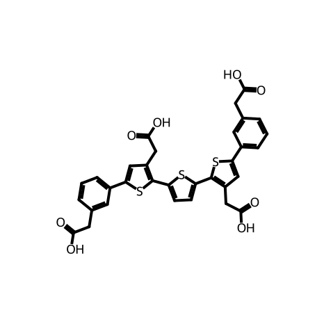 O=C(O)Cc1cccc(-c2cc(CC(=O)O)c(-c3ccc(-c4sc(-c5cccc(CC(=O)O)c5)cc4CC(=O)O)s3)s2)c1